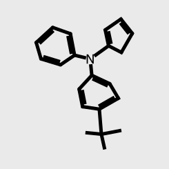 CC(C)(C)c1ccc(N(C2=CC=CC2)c2ccccc2)cc1